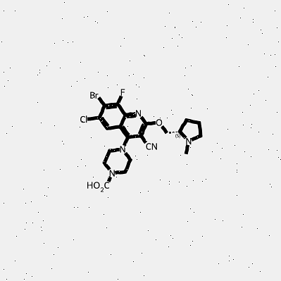 CN1CCC[C@H]1COc1nc2c(F)c(Br)c(Cl)cc2c(N2CCN(C(=O)O)CC2)c1C#N